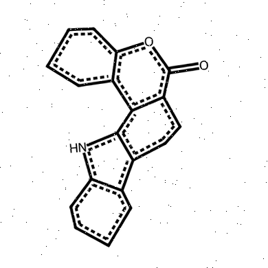 O=c1oc2ccccc2c2c1ccc1c3ccccc3[nH]c12